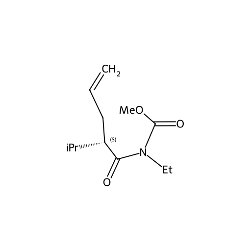 C=CC[C@H](C(=O)N(CC)C(=O)OC)C(C)C